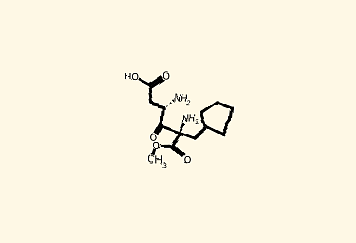 COC(=O)[C@@](N)(CC1CCCCC1)C(=O)[C@@H](N)CC(=O)O